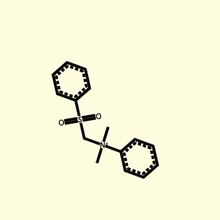 C[N+](C)(CS(=O)(=O)c1ccccc1)c1ccccc1